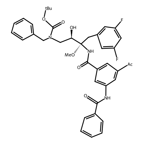 CO[C@](Cc1cc(F)cc(F)c1)(NC(=O)c1cc(NC(=O)c2ccccc2)cc(C(C)=O)c1)[C@H](O)CN(Cc1ccccc1)C(=O)OC(C)(C)C